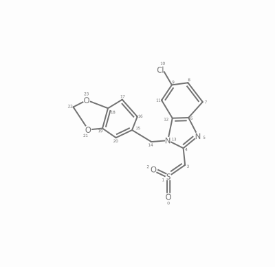 O=S(=O)=Cc1nc2ccc(Cl)cc2n1Cc1ccc2c(c1)OCO2